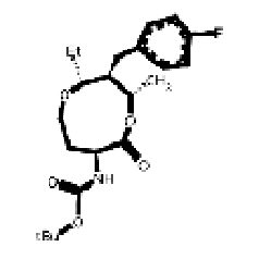 CC[C@H]1OCC[C@H](NC(=O)OC(C)(C)C)C(=O)O[C@@H](C)[C@@H]1Cc1ccc(F)cc1